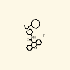 CC[N+]1(CC2=CCCCCCCC2)CCC(NC(=O)C2c3ccccc3Oc3ccccc32)CC1.[I-]